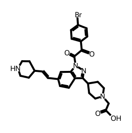 O=C(O)CN1CCC(c2nn(C(=O)C(=O)c3ccc(Br)cc3)c3cc(C=CC4CCNCC4)ccc23)CC1